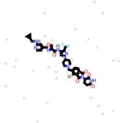 O=C1CCC(N2C(=O)c3ccc(CN4CCC(n5cc(NC(=O)c6coc(-c7ccnc(NCC8CC8)c7)n6)c(C(F)F)n5)CC4)c(Br)c3C2=O)C(=O)N1